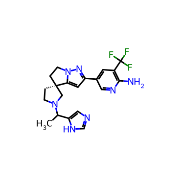 CC(c1cnc[nH]1)N1CC[C@@]2(CCn3nc(-c4cnc(N)c(C(F)(F)F)c4)cc32)C1